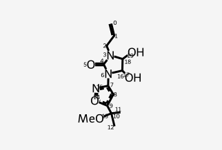 C=CCN1C(=O)N(c2cc(C(C)(C)OC)on2)C(O)C1O